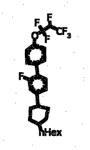 CCCCCCC1CCC(c2ccc(-c3ccc(OC(F)(F)C(F)C(F)(F)F)cc3)c(F)c2)CC1